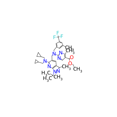 CCOC(=O)c1cnc(N(Cc2cc(C)cc(C(F)(F)F)c2)Cc2cc3c(C)nn(C(C)(C)C)c3nc2N(CC2CC2)CC2CC2)nc1C